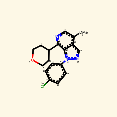 COc1cnc(C2CCOCC2)c2c1cnn2-c1ccc(Cl)cc1